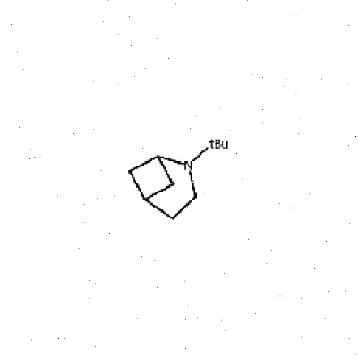 CC(C)(C)N1CCC2CC1C2